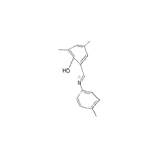 Cc1ccc(/N=C/c2cc(C)cc(C)c2O)cc1